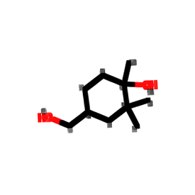 CC1(C)CC(CO)CCC1(C)O